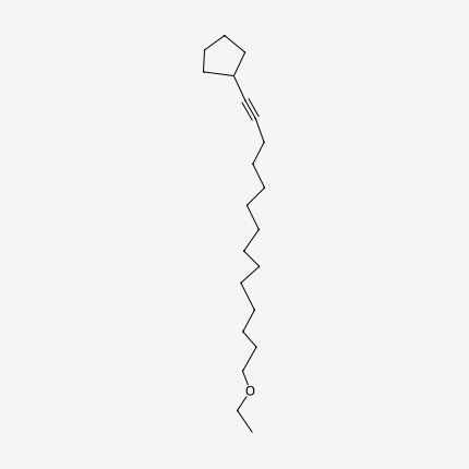 CCOCCCCCCCCCCCCC#CC1CCCC1